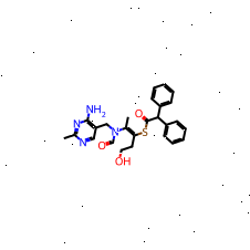 CC(=C(CCO)SC(=O)C(c1ccccc1)c1ccccc1)N(C=O)Cc1cnc(C)nc1N